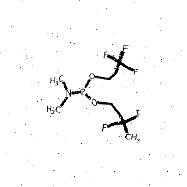 CN(C)P(OCC(C)(F)F)OCC(F)(F)F